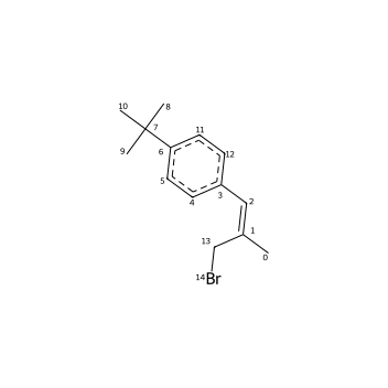 CC(=Cc1ccc(C(C)(C)C)cc1)CBr